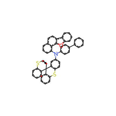 c1ccc(-c2ccc(N(c3ccc4c(c3)C3(c5ccccc5Sc5ccccc53)c3ccccc3S4)c3cccc4ccc5c6ccccc6oc5c34)cc2)cc1